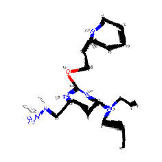 CCCN(CCC)c1cc(/C=N/N)nc(OCCc2ccccn2)n1